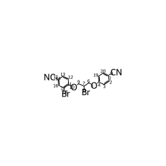 N#Cc1ccc(OCC(Br)COc2ccc(C#N)cc2Br)cc1